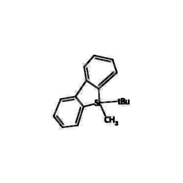 CC(C)(C)[Si]1(C)c2ccccc2-c2ccccc21